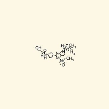 CCC1COCCN1c1nc(-c2ccc(NC(=O)NCCO)cc2)nc2c1CCN(C(=O)OC(C)(C)C)C2